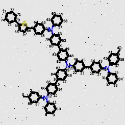 Cc1ccc(N(c2ccccc2)c2ccc(-c3ccc(N(c4ccc(-c5ccc(N(c6ccccc6)c6ccc(C)cc6)cc5)cc4)c4ccc(-c5ccc(N(c6ccccc6)c6ccc(-c7ccc(-c8ccccc8)s7)cc6)cc5)cc4)cc3)cc2)cc1